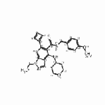 CCn1ncc2c(NC3CCOCC3)c(C(=O)NCc3ccc(OC)cc3)c(C3=CC=C3)nc21